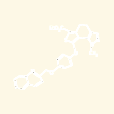 CCOC(=O)c1sc(Oc2ccc(OCc3ccc4ccccc4n3)cc2)c2c1CCc1cnn(C)c1-2